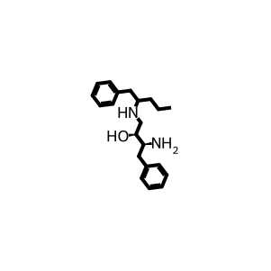 CCCC(Cc1ccccc1)NC[C@H](O)[C@@H](N)Cc1ccccc1